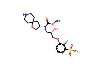 CC(C)(C)OC(=O)N(C[C@H](O)COc1cccc(S(C)(=O)=O)c1F)[C@@H]1COC2(CCNCC2)C1